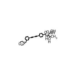 CC(O)[C@H](NC(=O)c1ccc(C#CC#Cc2cccc(CN3CCOCC3)c2)cc1)C(=O)NO